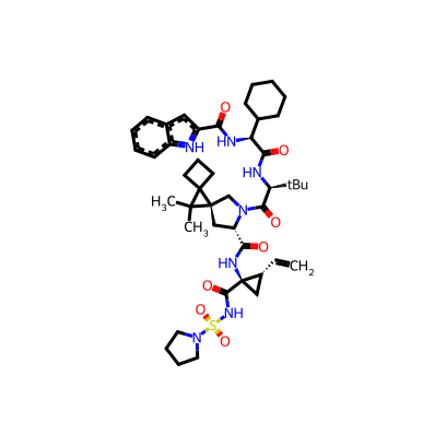 C=C[C@@H]1C[C@]1(NC(=O)[C@@H]1C[C@@]2(CN1C(=O)[C@@H](NC(=O)[C@@H](NC(=O)c1cc3ccccc3[nH]1)C1CCCCC1)C(C)(C)C)C(C)(C)C21CCC1)C(=O)NS(=O)(=O)N1CCCC1